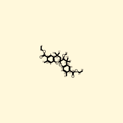 CCOC(=O)c1cc2c(cc1C)OC1(CC2(C)C)Oc2cc(C)c(C(=O)OCC)cc2C(C)(C)C1OC